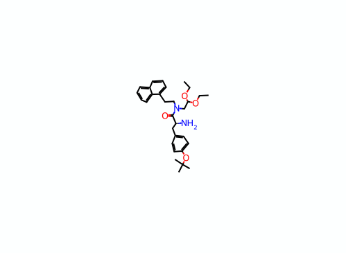 CCOC(CN(CCc1cccc2ccccc12)C(=O)[C@@H](N)Cc1ccc(OC(C)(C)C)cc1)OCC